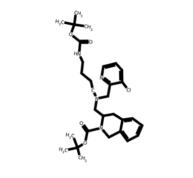 CC(C)(C)OC(=O)NCCCCN(Cc1ncccc1Cl)CC1Cc2ccccc2CN1C(=O)OC(C)(C)C